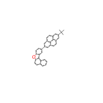 CC(C)(C)c1cc2ccc3cc(-c4ccc5oc6ccc7ccccc7c6c5c4)cc4ccc(c1)c2c34